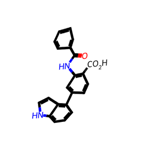 O=C(Nc1cc(-c2cccc3[nH]ccc23)ccc1C(=O)O)c1ccccc1